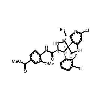 COC(=O)c1ccc(NC(=O)[C@H]2N[C@H](CC(C)(C)C)[C@]3(C(=O)Nc4cc(Cl)ncc43)[C@@H]2c2cccc(Cl)c2F)c(OC)c1